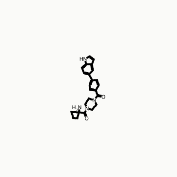 NC1(C(=O)N2CCN(C(=O)c3ccc(-c4ccc5[nH]ccc5c4)cc3)CC2)CCC1